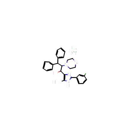 Cc1[nH]c(-c2cccc(Cl)c2)nc1C(O)C(C(c1ccccc1)c1ccccc1)N1CCNCC1.Cl.Cl.Cl